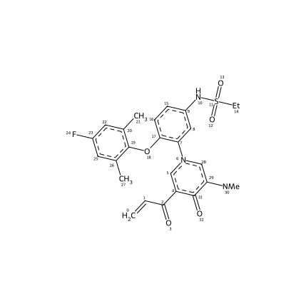 C=CC(=O)c1cn(-c2cc(NS(=O)(=O)CC)ccc2Oc2c(C)cc(F)cc2C)cc(NC)c1=O